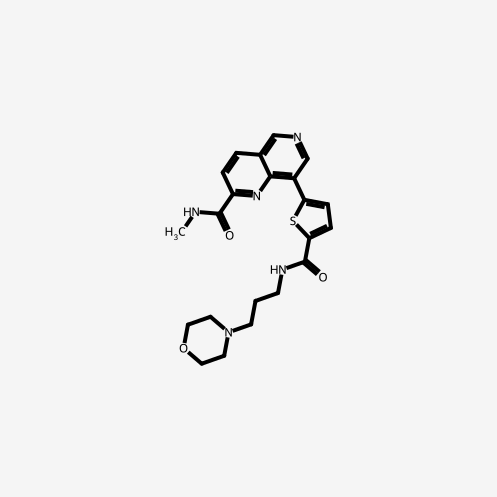 CNC(=O)c1ccc2cncc(-c3ccc(C(=O)NCCCN4CCOCC4)s3)c2n1